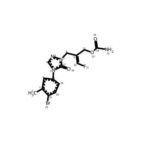 Cc1cc(-n2cnn(CC(=CF)COC(N)=O)c2=O)ccc1Br